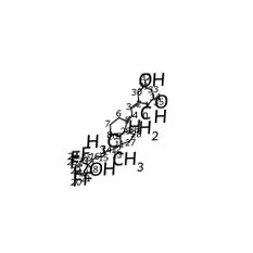 C=C1C(=CC=C2CCC[C@@]3(C)C([C@H](C)CCCC(O)(C(F)(F)F)C(F)(F)F)CC[C@H]23)C[C@@H](O)C[C@@H]1O